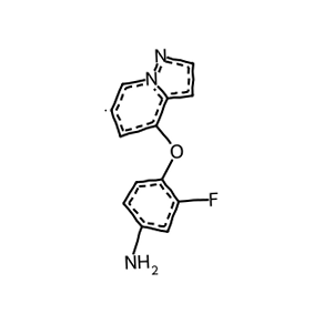 Nc1ccc(Oc2c[c]cn3nccc23)c(F)c1